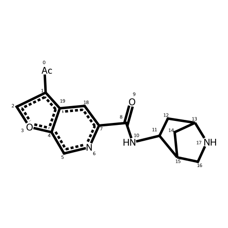 CC(=O)c1coc2cnc(C(=O)NC3CC4CC3CN4)cc12